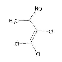 CC(N=O)C(Cl)=C(Cl)Cl